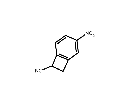 N#CC1Cc2cc([N+](=O)[O-])ccc21